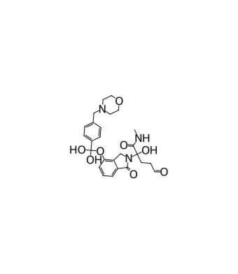 CNC(=O)C(O)(CCC=O)N1Cc2c(OC(O)(O)c3ccc(CN4CCOCC4)cc3)cccc2C1=O